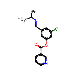 CC(C)C(N=Cc1cc(Cl)cc(OC(=O)c2cccnc2)c1)C(=O)O